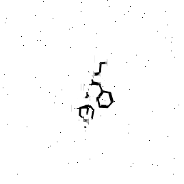 C[N+]12CCC(CC1)[C@@H](OC(=O)Nc1nc(C(F)F)sc1-c1ccccc1)C2